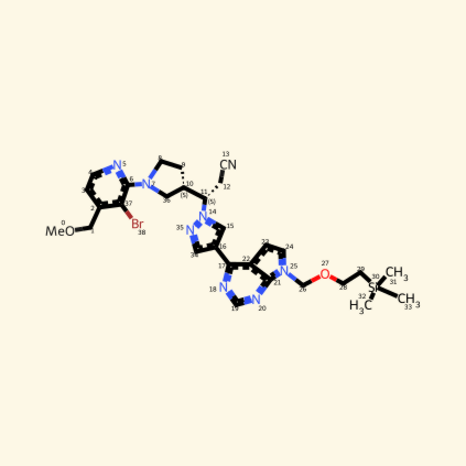 COCc1ccnc(N2CC[C@H]([C@H](CC#N)n3cc(-c4ncnc5c4ccn5COCC[Si](C)(C)C)cn3)C2)c1Br